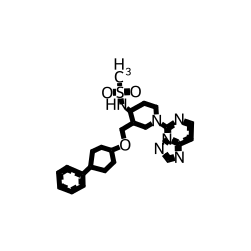 CS(=O)(=O)NC1CCN(c2nccc3ncnn23)CC1COC1CCC(c2ccccc2)CC1